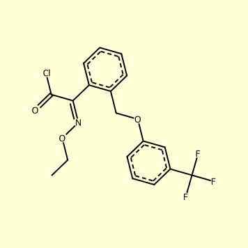 CCON=C(C(=O)Cl)c1ccccc1COc1cccc(C(F)(F)F)c1